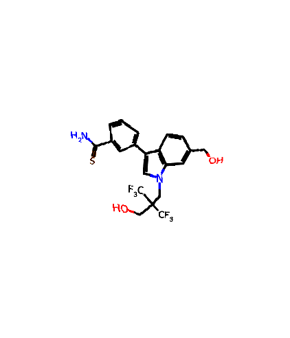 NC(=S)c1cccc(-c2cn(CC(CO)(C(F)(F)F)C(F)(F)F)c3cc(CO)ccc23)c1